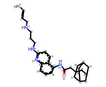 CCCC=CCNCCCNc1ccc2c(NC(=O)CC34CC5CC(CC(C5)C3)C4)cccc2n1